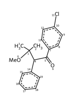 COC(C)(C)C(C(=O)c1ccc(Cl)cc1)c1ccccc1